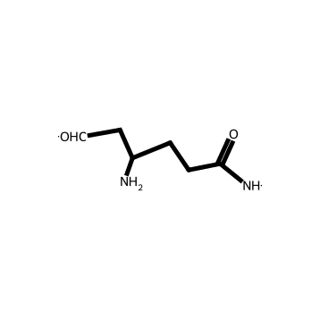 [NH]C(=O)CCC(N)C[C]=O